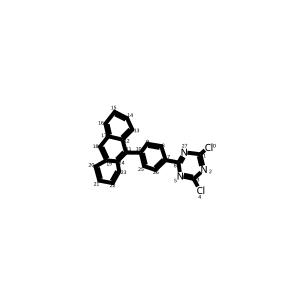 Clc1nc(Cl)nc(-c2ccc(-c3c4ccccc4cc4ccccc34)cc2)n1